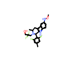 CONc1ccc2[nH]c3c(c2c1)CC(C)N(CC(F)(F)CO)C3c1c(F)cc(C)cc1F